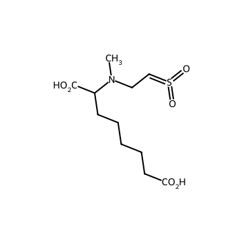 CN(CC=S(=O)=O)C(CCCCCC(=O)O)C(=O)O